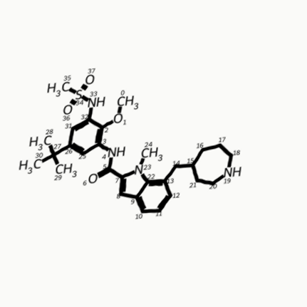 COc1c(NC(=O)c2cc3cccc(CC4CCCNCC4)c3n2C)cc(C(C)(C)C)cc1NS(C)(=O)=O